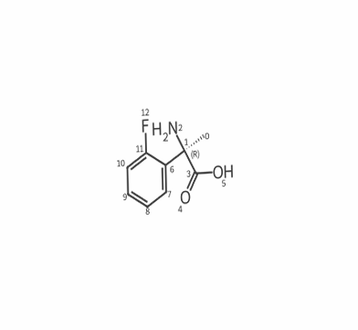 C[C@](N)(C(=O)O)c1ccccc1F